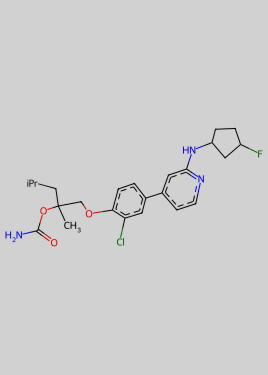 CC(C)CC(C)(COc1ccc(-c2ccnc(NC3CCC(F)C3)c2)cc1Cl)OC(N)=O